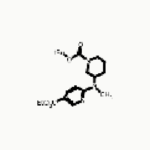 CCOC(=O)c1ccc(N(C)C2CCCN(C(=O)OC(C)(C)C)C2)nc1